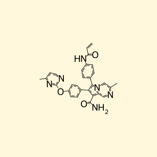 C=CC(=O)Nc1ccc(-c2c(-c3ccc(Oc4nccc(C)n4)cc3)c(C(N)=O)c3cnc(C)cn23)cc1